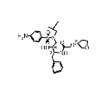 CC(C)CN(C[C@@H](O)[C@H](Cc1ccccc1)NC(=O)CO[C@H]1CCOC1)S(=O)(=O)c1ccc(N)cc1